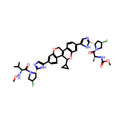 CON[C@H](C(=O)N1C[C@H](F)C[C@H]1c1ncc(-c2ccc3c(c2)OCC2=C3C(C3CC3)Oc3cc(-c4cnc([C@@H]5C[C@@H](F)CN5C(=O)[C@H](C)NC(=O)OC)[nH]4)ccc32)[nH]1)C(C)C